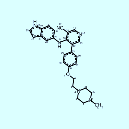 CN1CCN(CCOc2ccc(-c3cncc(C#N)c3Nc3ccc4[nH]ccc4c3)cc2)CC1